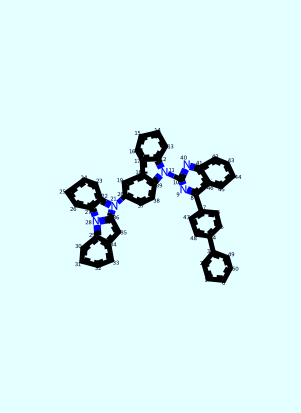 c1ccc(-c2ccc(-c3nc(-n4c5ccccc5c5cc(-n6c7ccccc7n7c8ccccc8cc67)ccc54)nc4ccccc34)cc2)cc1